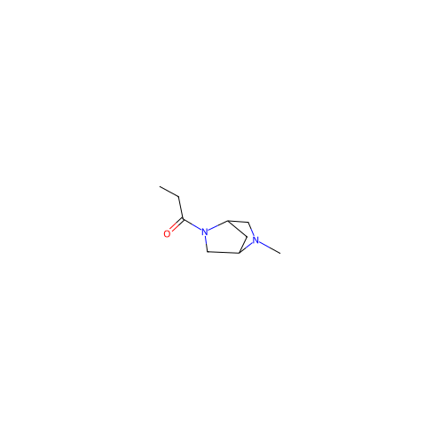 CCC(=O)N1CC2CC1CN2C